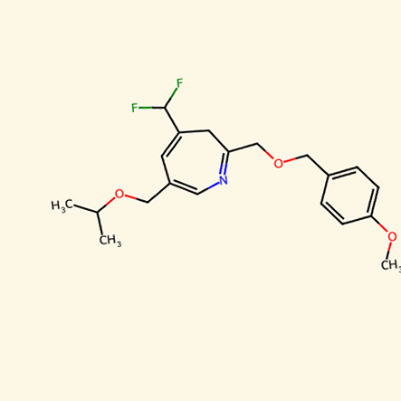 COc1ccc(COCC2=NC=C(COC(C)C)C=C(C(F)F)C2)cc1